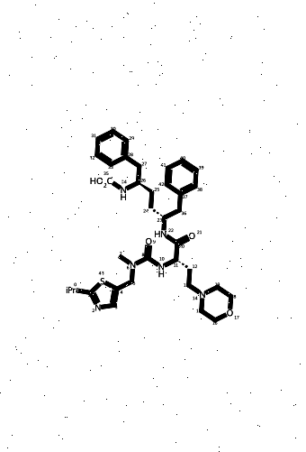 CC(C)c1ncc(CN(C)C(=O)N[C@@H](CCN2CCOCC2)C(=O)N[C@H](CC[C@H](Cc2ccccc2)NC(=O)O)Cc2ccccc2)s1